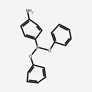 Nc1ccc(B(Oc2ccccc2)Oc2ccccc2)cc1